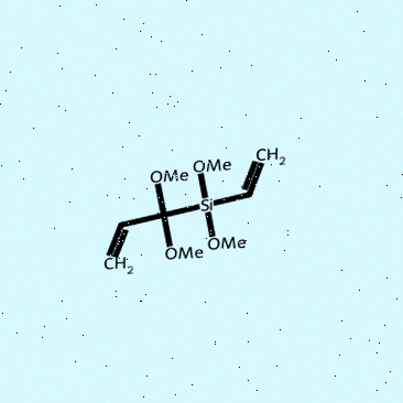 C=CC(OC)(OC)[Si](C=C)(OC)OC